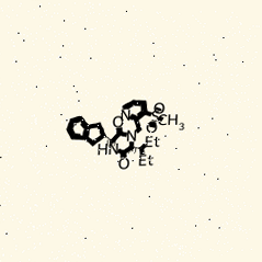 CCC(CC)[C@@H]1C(=O)N[C@H](C2Cc3ccccc3C2)C(=O)N1Cc1ncccc1S(C)(=O)=O